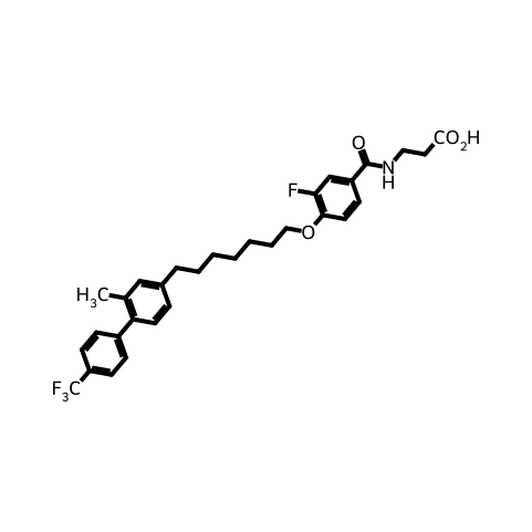 Cc1cc(CCCCCCCOc2ccc(C(=O)NCCC(=O)O)cc2F)ccc1-c1ccc(C(F)(F)F)cc1